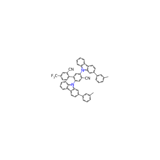 Cc1cccc(-c2ccc3c4ccccc4n(-c4cc(-c5ccc(C(F)(F)F)cc5C#N)c(-n5c6ccccc6c6ccc(-c7cccc(C)c7)cc65)cc4C#N)c3c2)c1